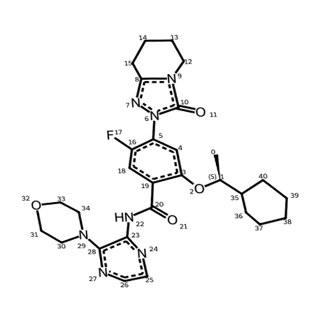 C[C@H](Oc1cc(-n2nc3n(c2=O)CCCC3)c(F)cc1C(=O)Nc1nccnc1N1CCOCC1)C1CCCCC1